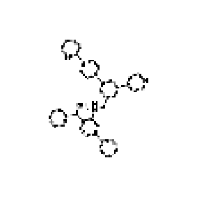 NC(c1ccccc1)c1ccc(-c2ccccc2)cc1NCc1cc(-c2ccncc2)cc(-c2ccc(-c3ncccn3)cc2)c1